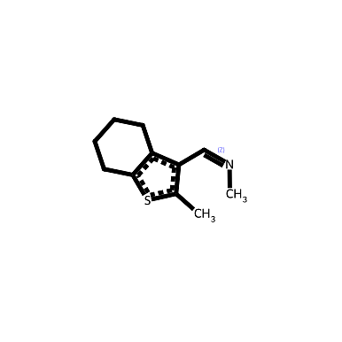 C/N=C\c1c(C)sc2c1CCCC2